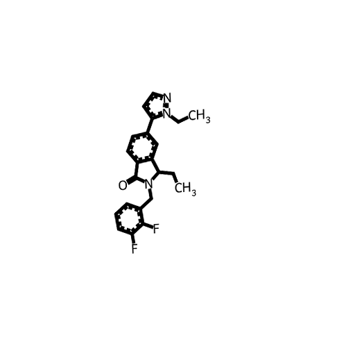 CCC1c2cc(-c3ccnn3CC)ccc2C(=O)N1Cc1cccc(F)c1F